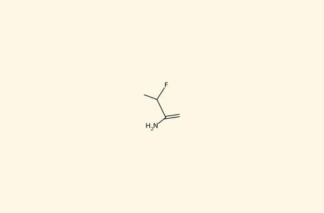 C=C(N)C(C)F